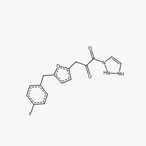 O=C(Cc1ccc(Cc2ccc(F)cc2)o1)C(=O)N1C=CNN1